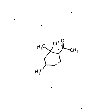 CC(=O)C1CCC(C)CC1(C)C